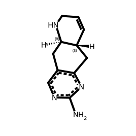 Nc1ncc2c(n1)C[C@H]1C=CCN[C@@H]1C2